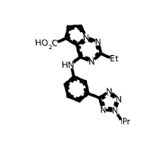 CCc1nc(Nc2cccc(-c3nnn(C(C)C)n3)c2)c2c(C(=O)O)ccn2n1